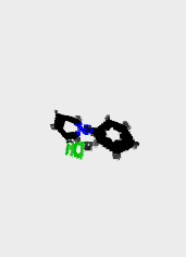 C1=CCN(c2ccccc2)C=C1.Cl